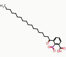 CCCCCCCCCCCCCCCCCC(=O)c1cccc(C(=O)O)c1I(=O)=O